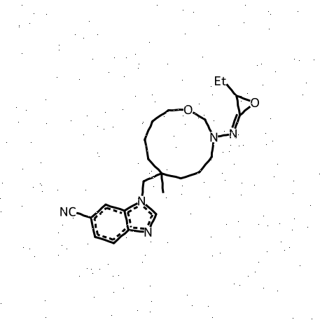 CCC1O/C1=N/N1CCCC(C)(Cn2cnc3ccc(C#N)cc32)CCCCOC1